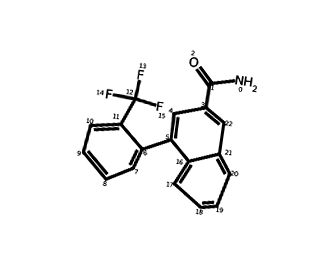 NC(=O)c1cc(-c2ccccc2C(F)(F)F)c2ccccc2c1